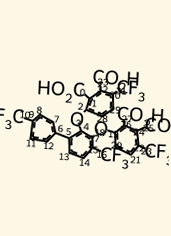 O=C(O)c1c(Oc2c(-c3ccc(C(F)(F)F)cc3)ccc(C(F)(F)F)c2Oc2ccc(C(F)(F)F)c(C(=O)O)c2C(=O)O)ccc(C(F)(F)F)c1C(=O)O